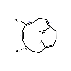 CC1=C\C/C=C(\C)CC/C=C(\C)CC[C@H](C(C)C)/C=C\1